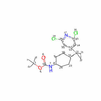 CC(C)(C)OC(=O)NC1CCC(C2(c3cc(Cl)nc(Cl)c3)CC2)CC1